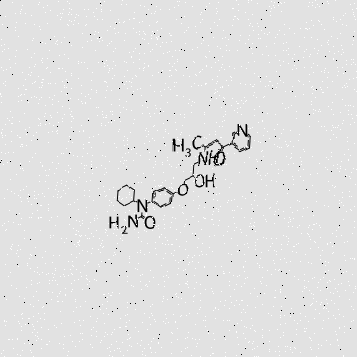 CC(=CC(=O)c1cccnc1)NCC(O)COc1ccc(N(C(N)=O)C2CCCCC2)cc1